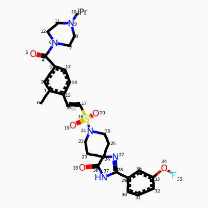 Cc1cc(C(=O)N2CCN(C(C)C)CC2)ccc1/C=C/S(=O)(=O)N1CCC2(CC1)N=C(c1cccc(OF)c1)NC2=O